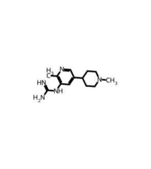 Cc1ncc(C2CCN(C)CC2)cc1NC(=N)N